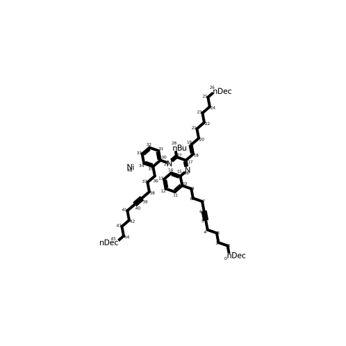 CCCCCCCCCCCCCCC#CCCCc1ccccc1N=C(C=CCCCCCCCCCCCCCCCC)C(CCCC)=Nc1ccccc1CCCC#CCCCCCCCCCCCCCC.[Ni]